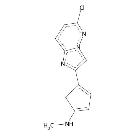 CNC1=CC=C(c2cn3nc(Cl)ccc3n2)C1